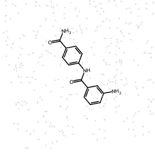 NC(=O)c1ccc(NC(=O)c2cccc(N)c2)cc1